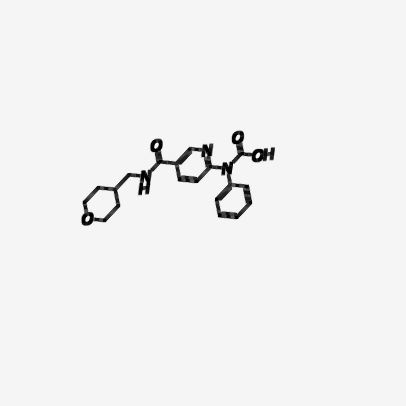 O=C(NCC1CCOCC1)c1ccc(N(C(=O)O)c2ccccc2)nc1